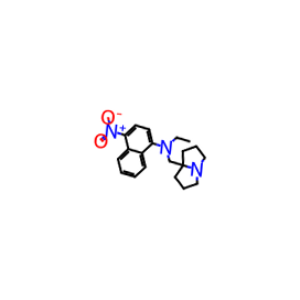 CCN(CC12CCCN1CCC2)c1ccc([N+](=O)[O-])c2ccccc12